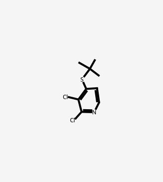 CC(C)(C)Sc1ccnc(Cl)c1Cl